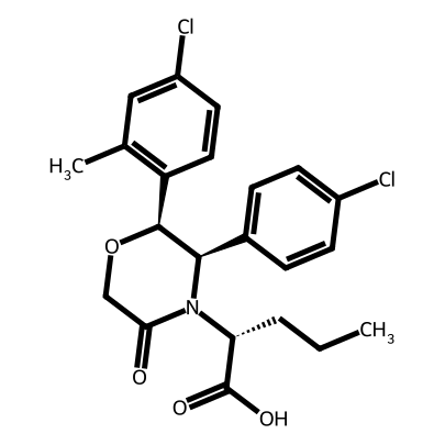 CCC[C@H](C(=O)O)N1C(=O)CO[C@@H](c2ccc(Cl)cc2C)[C@H]1c1ccc(Cl)cc1